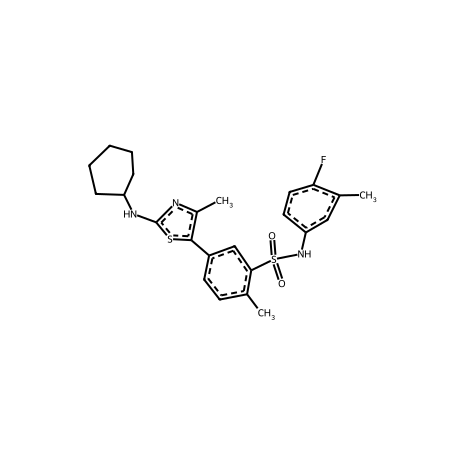 Cc1cc(NS(=O)(=O)c2cc(-c3sc(NC4CCCCC4)nc3C)ccc2C)ccc1F